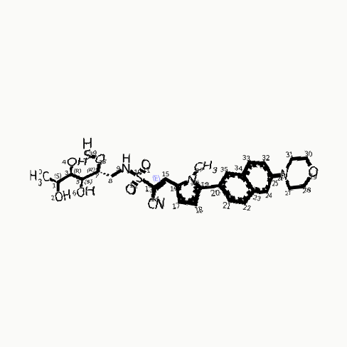 C[C@H](O)[C@@H](O)[C@H](O)[C@@H](CNS(=O)(=O)/C(C#N)=C/c1ccc(-c2ccc3cc(N4CCOCC4)ccc3c2)n1C)OS